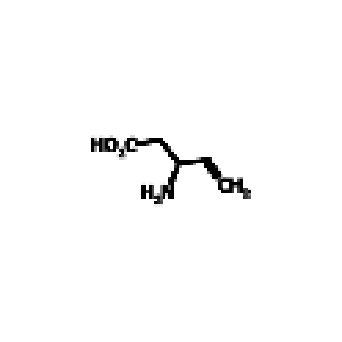 C=C[C@@H](N)CC(=O)O